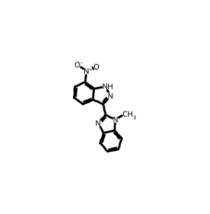 Cn1c(-c2n[nH]c3c([N+](=O)[O-])cccc23)nc2ccccc21